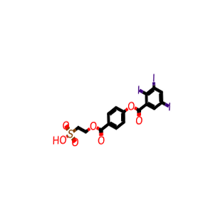 O=C(OCCS(=O)(=O)O)c1ccc(OC(=O)c2cc(I)cc(I)c2I)cc1